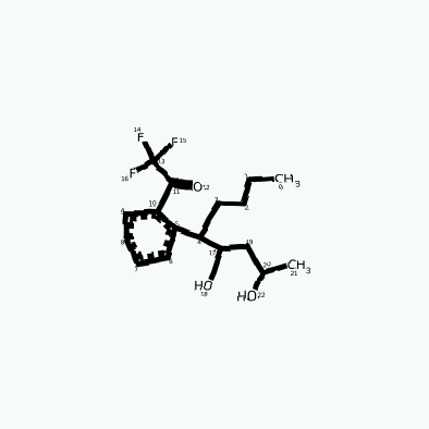 CCCCC(c1ccccc1C(=O)C(F)(F)F)C(O)CC(C)O